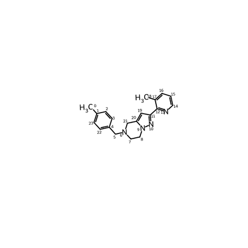 Cc1ccc(CN2CCn3nc(-c4ncccc4C)cc3C2)cc1